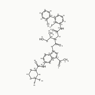 CC(=O)c1cn(CC(=O)N(CC(=O)Nc2cccc(-c3ccccc3Cl)c2F)C(C)CO)c2ccc(NC(=O)N3CCCC(F)(F)C3)cc12